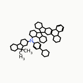 CC1(C)C2CCCCC2C2CCC(N(C3C=CC(C4CCCCC4)=CC3)C3CCCC4C3C3CCCCC3C43C4CCCCC4C4CC5=C(CC43)C3CCCCC3C3C=CC=CC53)CC21